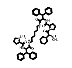 CNC(C(=O)N1CCCC1C(=O)NC(C(=O)NCCCCCCNC(=O)C(NC(=O)C1CCCN1C)C(c1ccccc1)c1ccccc1)C(c1ccccc1)c1ccccc1)C1CCCCC1